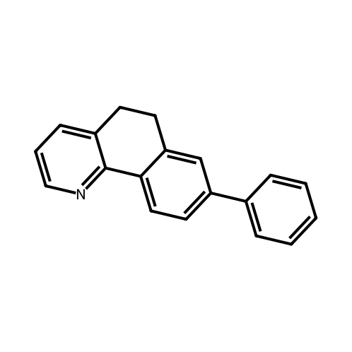 c1ccc(-c2ccc3c(c2)CCc2cccnc2-3)cc1